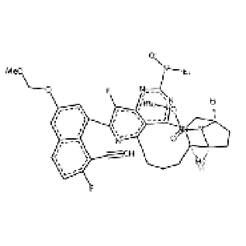 C#Cc1c(F)ccc2cc(OCOC)cc(-c3nc4c5c(nc([S+]([O-])CC)nc5c3F)N3C[C@H]5CC[C@@H]([C@H]3CCC4)N5C(=O)OC(C)(C)C)c12